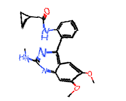 CNc1nc(-c2ccccc2NC(=O)C2CC2)c2cc(OC)c(OC)cc2n1